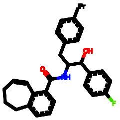 CC(C)c1ccc(CC(NC(=O)c2cccc3c2C=CCCC3)C(O)c2ccc(F)cc2)cc1